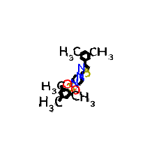 Cc1cc(C)cc(-c2csc(N3CCN(S(=O)(=O)c4c(C)cc(C)cc4C)CC3)n2)c1